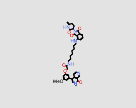 C=C1CCC(N2C(=O)c3cccc(NCCCCCCCCNC(=O)COc4cc(OC)cc(-c5cn(C)c(=O)c6cnccc56)c4)c3C2=O)C(=O)N1